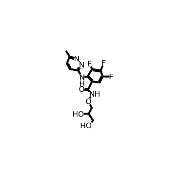 Cc1ccc(Nc2c(C(=O)NOCC(O)CO)cc(F)c(F)c2F)nn1